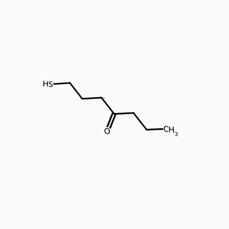 CCCC(=O)[CH]CCS